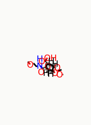 COCCNC(=O)[C@@H]1[C@@H]2O[C@@H]([C@@H]3OC(C)(OC)O[C@@H]32)[C@@H]1C(=O)O